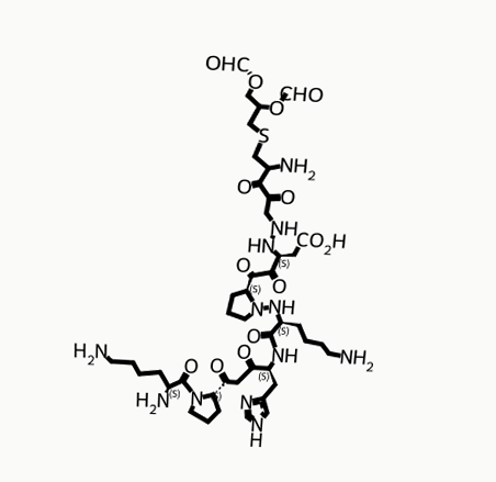 NCCCC[C@H](NN1CCC[C@H]1C(=O)C(=O)[C@H](CC(=O)O)NNCC(=O)C(=O)C(N)CSCC(COC=O)OC=O)C(=O)N[C@@H](Cc1c[nH]cn1)C(=O)CC(=O)[C@@H]1CCCN1C(=O)[C@@H](N)CCCCN